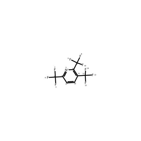 FC(F)(F)C1=[N+]C(C(F)(F)F)=C(C(F)(F)F)[C]=[C]1